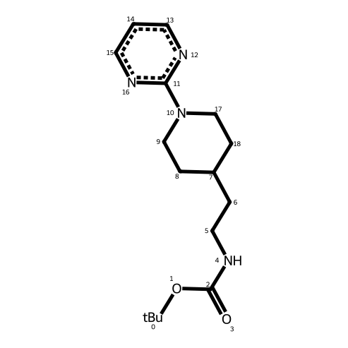 CC(C)(C)OC(=O)NCCC1CCN(c2ncccn2)CC1